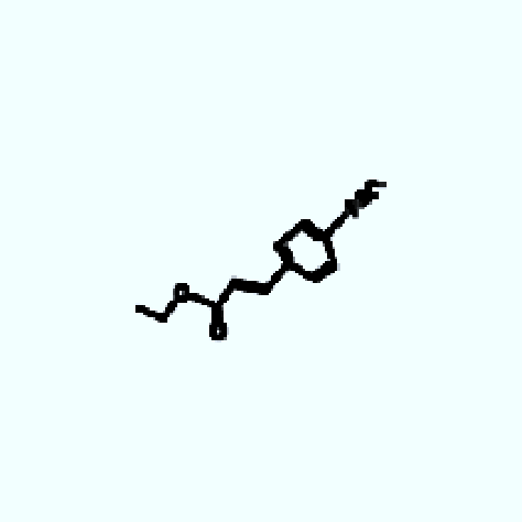 [C-]#[N+]c1ccc(/C=C/C(=O)OCC)cc1